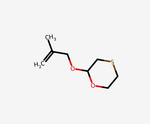 C=C(C)COC1CSCCO1